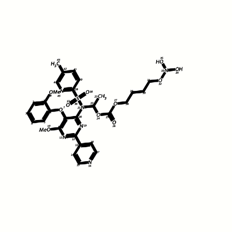 COc1ccccc1Oc1c(OC)nc(-c2ccncc2)nc1N(C(C)OC(=O)OCCCCON(O)O)S(=O)(=O)c1ccc(C)cn1